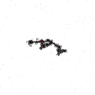 CCN(CC)c1ccc2c(-c3ccc(S(=O)(=O)NCCC(=O)NCCCC[C@H](NC(=O)CCNS(=O)(=O)c4ccc(-c5c6ccc(=[N+](CC)CC)cc-6oc6cc(N(CC)CC)ccc56)c(S(=O)(=O)[O-])c4)C(=O)NCc4cn(CCOCCOCCOCCNC(=O)CCCC[C@@H]5SC[C@@H]6NC(=O)N[C@@H]65)nn4)cc3S(=O)(=O)[O-])c3ccc(=[N+](CC)CC)cc-3oc2c1